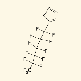 FC(F)(F)C(F)(F)C(F)(F)C(F)(F)C(F)(F)C(F)(F)c1cccs1